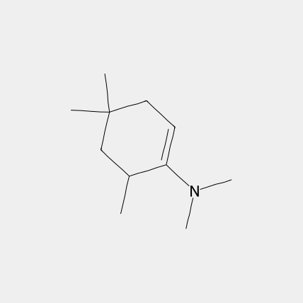 CC1CC(C)(C)CC=C1N(C)C